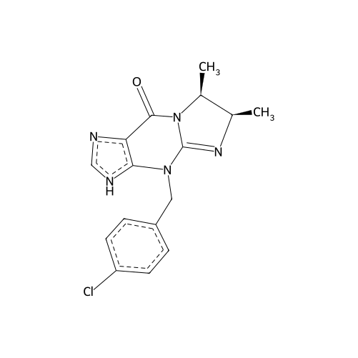 C[C@H]1N=C2N(Cc3ccc(Cl)cc3)c3[nH]cnc3C(=O)N2[C@H]1C